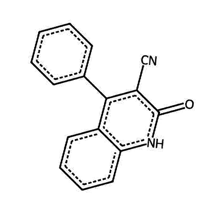 N#Cc1c(-c2ccccc2)c2ccccc2[nH]c1=O